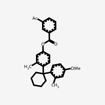 COc1ccc(C2(c3ccc(OC(=O)c4cccc(C(C)=O)c4)cc3C)CCCCC2)c(C)c1